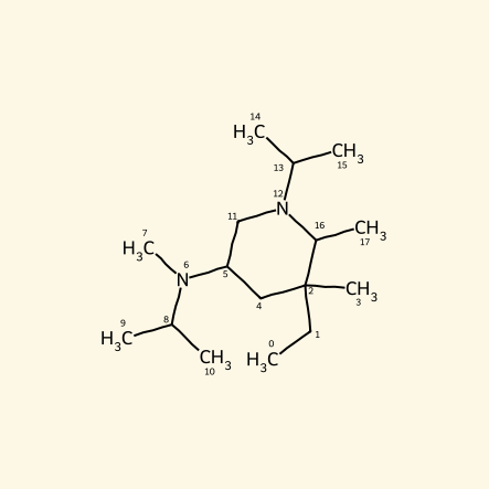 CCC1(C)CC(N(C)C(C)C)CN(C(C)C)C1C